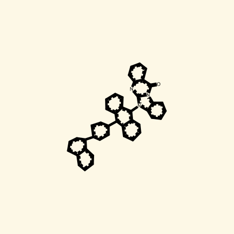 O=c1c2ccccc2nc2n(-c3c4ccccc4c(-c4ccc(-c5cccc6ccccc56)cc4)c4ccccc34)c3ccccc3n12